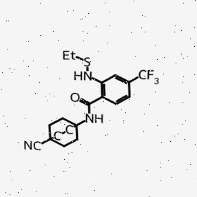 CCSNc1cc(C(F)(F)F)ccc1C(=O)NC12CCC(C#N)(CC1)CC2